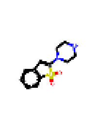 O=S1(=O)C(N2CCNCC2)=Cc2ccccc21